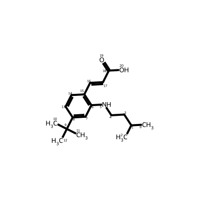 CC(C)CCNc1cc(C(C)(C)C)ccc1/C=C/C(=O)O